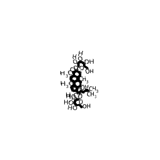 CC(C)=CCC[C@](C)(OC1OC(CO)C(O)C(O)C1O)C1CC[C@]2(C)C1C(O)CC1[C@@]3(C)CCC(OC4OC(CO)C(O)C(O)C4O)C(C)(C)C3CC[C@]12C